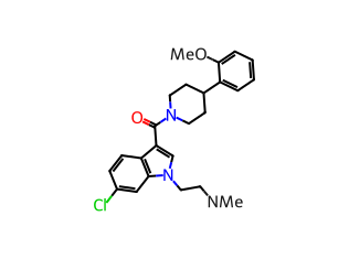 CNCCn1cc(C(=O)N2CCC(c3ccccc3OC)CC2)c2ccc(Cl)cc21